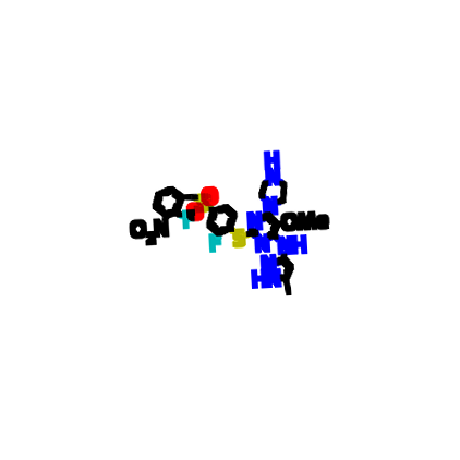 COc1c(Nc2cc(C)[nH]n2)nc(Sc2ccc(S(=O)(=O)Cc3cccc([N+](=O)[O-])c3F)cc2F)nc1N1CCNCC1